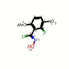 COc1ccc([N+](=O)[O-])c(F)c1/C(Cl)=N/O